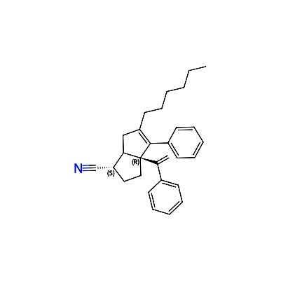 C=C(c1ccccc1)[C@@]12CC[C@H](C#N)C1CC(CCCCCC)=C2c1ccccc1